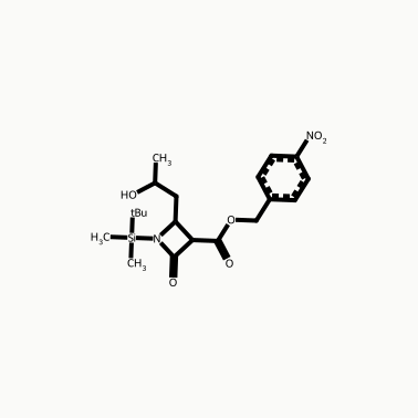 CC(O)CC1C(C(=O)OCc2ccc([N+](=O)[O-])cc2)C(=O)N1[Si](C)(C)C(C)(C)C